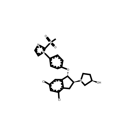 CS(=O)(=O)c1nccn1-c1ccc(O[C@H]2c3cc(Cl)cc(Cl)c3C[C@@H]2N2CC[C@@H](O)C2)cc1